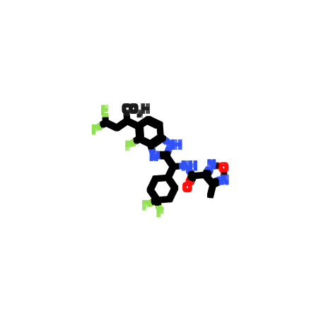 Cc1nonc1C(=O)NC(c1nc2c(F)c(C(CC(F)F)C(=O)O)ccc2[nH]1)C1CCC(F)(F)CC1